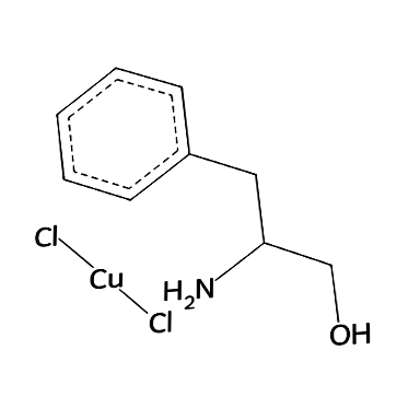 NC(CO)Cc1ccccc1.[Cl][Cu][Cl]